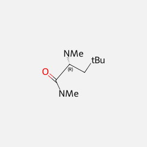 CNC(=O)[C@@H](CC(C)(C)C)NC